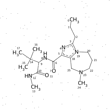 CCCc1nc(C(=O)NC(C(=O)NC)C(C)(C)C)c2n1CCCN(C)C2